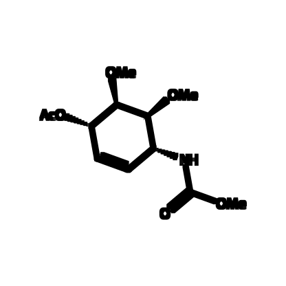 COC(=O)N[C@@H]1C=C[C@H](OC(C)=O)[C@@H](OC)[C@H]1OC